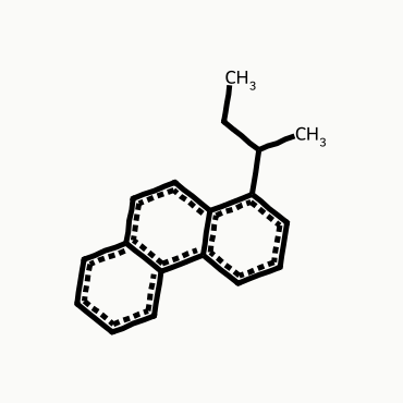 CCC(C)c1cccc2c1ccc1ccccc12